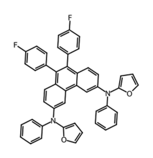 Fc1ccc(-c2c(-c3ccc(F)cc3)c3ccc(N(c4ccccc4)c4ccco4)cc3c3cc(N(c4ccccc4)c4ccco4)ccc23)cc1